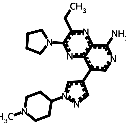 CCc1nc2c(N)ncc(-c3cnn(C4CCN(C)CC4)c3)c2nc1N1CCCC1